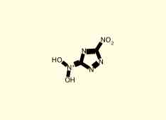 O=[N+]([O-])C1=NC(=[N+](O)O)N=N1